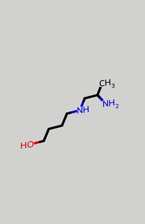 CC(N)CNCCCCO